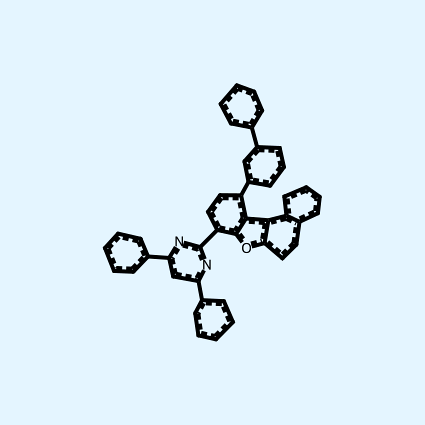 c1ccc(-c2cccc(-c3ccc(-c4nc(-c5ccccc5)cc(-c5ccccc5)n4)c4oc5ccc6ccccc6c5c34)c2)cc1